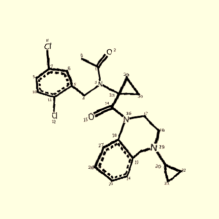 CC(=O)N(Cc1cc(Cl)ccc1Cl)C1(C(=O)N2CCN(C3CC3)c3ccccc32)CC1